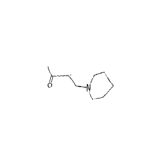 CC(=O)[CH]CN1CCCCC1